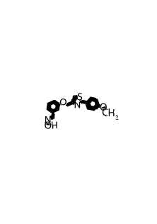 COc1ccc(-c2nc(COc3cccc(/C=N/O)c3)cs2)cc1